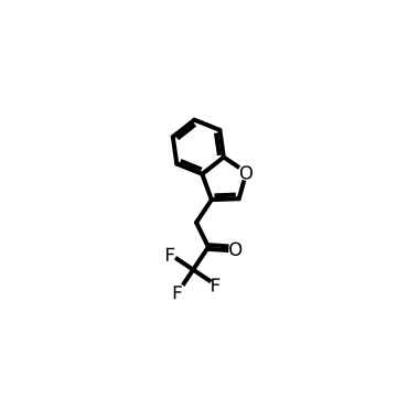 O=C(Cc1coc2ccccc12)C(F)(F)F